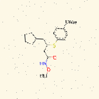 COc1ccc(SC(CC(=O)NOC(C)(C)C)CC2CCCC2)cc1